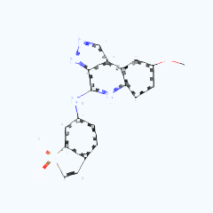 COc1ccc2nc(Nc3ccc4c(c3)S(=O)(=O)C=C4)c3n[nH]cc3c2c1